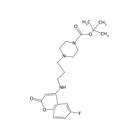 CC(C)(C)OC(=O)N1CCN(CCCNc2cc(=O)oc3ccc(F)cc23)CC1